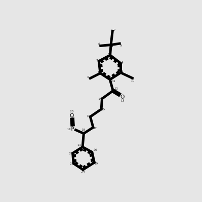 Cc1cc(C(C)(C)C)cc(C)c1C(=O)CCCCC(P=O)c1ccccc1